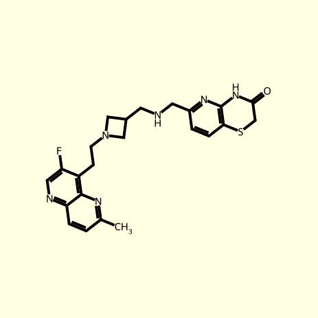 Cc1ccc2ncc(F)c(CCN3CC(CNCc4ccc5c(n4)NC(=O)CS5)C3)c2n1